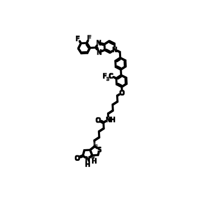 O=C(CCCC[C@H]1SC[C@H]2NC(=O)CC21)NCCCCCOc1ccc(-c2ccc(Cn3ccc4nc(C5=C(F)C(F)CC=C5)nc-4c3)cc2)c(C(F)(F)F)c1